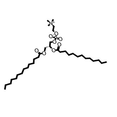 CCCCCCCCCCCCCC(=O)OC[C@H](COP(=O)([O-])OCC[N+](C)(C)C)OC(=O)CCCCCCCCCCCC